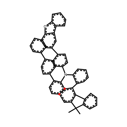 CC1(C)c2ccccc2-c2c(-c3ccccc3N(c3ccc(-c4ccc5oc6ccccc6c5c4)cc3)c3ccccc3-c3ccc(-c4ccccc4)cc3)cccc21